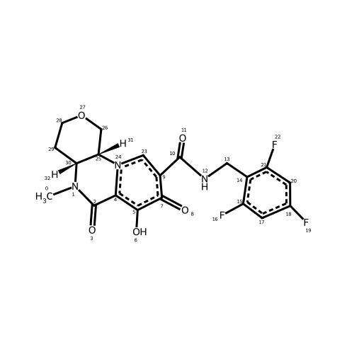 CN1C(=O)c2c(O)c(=O)c(C(=O)NCc3c(F)cc(F)cc3F)cn2[C@H]2COCC[C@H]21